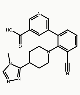 Cn1cnnc1C1CCN(c2c(C#N)cccc2-c2cncc(C(=O)O)c2)CC1